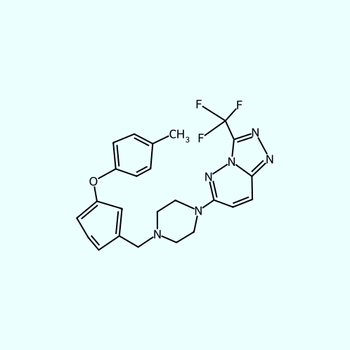 Cc1ccc(Oc2cccc(CN3CCN(c4ccc5nnc(C(F)(F)F)n5n4)CC3)c2)cc1